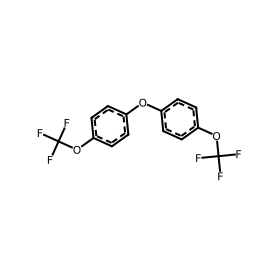 FC(F)(F)Oc1ccc(Oc2ccc(OC(F)(F)F)cc2)cc1